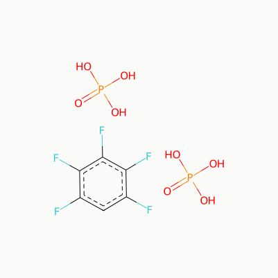 Fc1cc(F)c(F)c(F)c1F.O=P(O)(O)O.O=P(O)(O)O